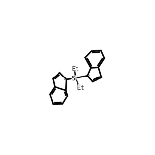 CC[Si](CC)([C]1C=Cc2ccccc21)[C]1C=Cc2ccccc21